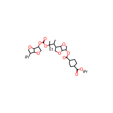 CCC(C)(OC(=O)OC1COC2C(C(C)C)COC12)C(C)C1COC2C(OC(=O)C3CCC(C(=O)OC(C)C)CC3)COC12